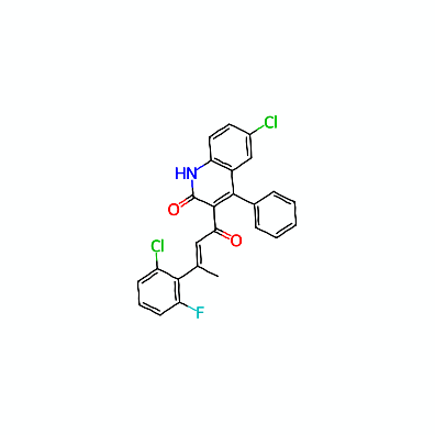 CC(=CC(=O)c1c(-c2ccccc2)c2cc(Cl)ccc2[nH]c1=O)c1c(F)cccc1Cl